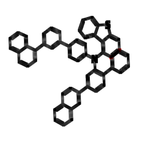 c1ccc(-c2ccc(-c3ccc4ccccc4c3)cc2N(c2ccc(-c3cccc(-c4cccc5ccccc45)c3)cc2)c2cccc3sc4ccccc4c23)cc1